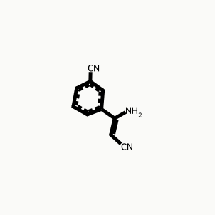 N#CC=C(N)c1cccc(C#N)c1